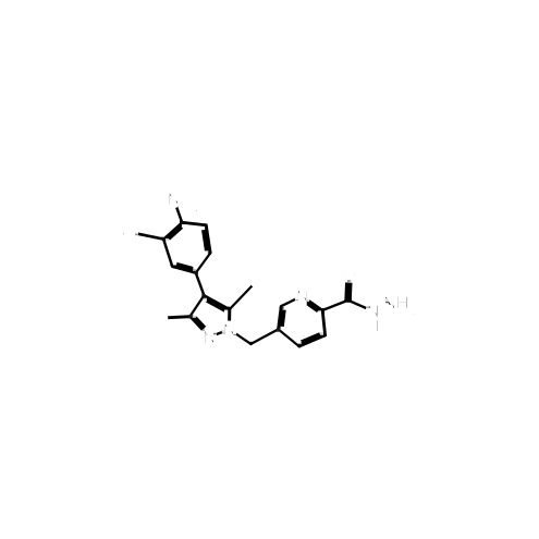 Cc1nn(Cc2ccc(C(=O)NN)nc2)c(C)c1-c1ccc(N)c(Cl)c1